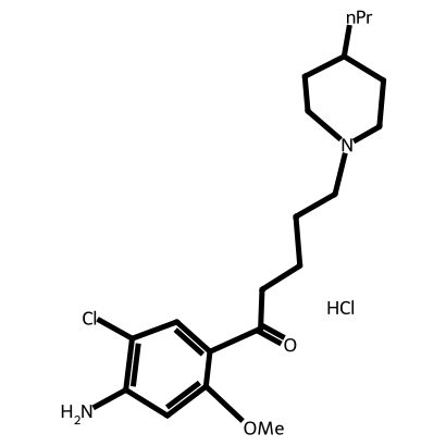 CCCC1CCN(CCCCC(=O)c2cc(Cl)c(N)cc2OC)CC1.Cl